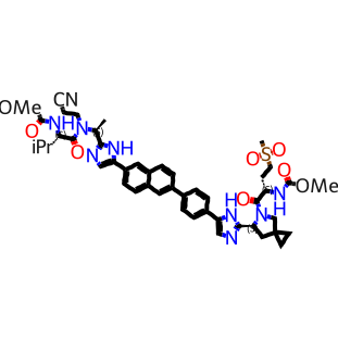 COC(=O)N[C@@H](CCS(C)(=O)=O)C(=O)N1CC2(CC2)C[C@H]1c1ncc(-c2ccc(-c3ccc4cc(-c5cnc([C@H](C)N(CCC#N)C(=O)[C@@H](NC(=O)OC)C(C)C)[nH]5)ccc4c3)cc2)[nH]1